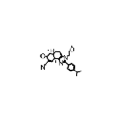 COCCn1c(-c2ccc(C(C)C)cc2)nc2c1CC[C@@H]1[C@@H](C)C(=O)C(C#N)=C[C@@]21C